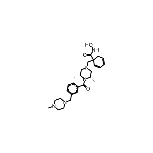 C[C@@H]1CN(CC2(C(=O)NO)C=CC=CC2)C[C@H](C)N1C(=O)c1cccc(CN2CCN(C)CC2)c1